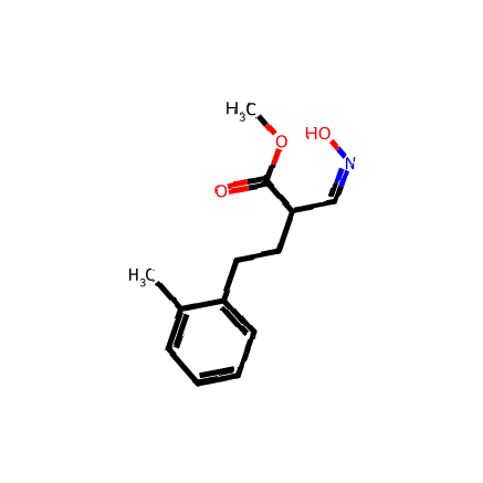 COC(=O)C(/C=N\O)CCc1ccccc1C